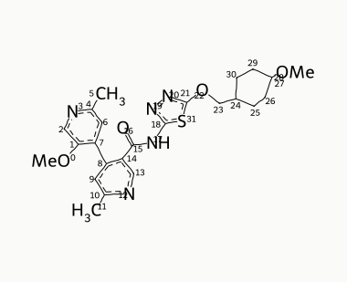 COc1cnc(C)cc1-c1cc(C)ncc1C(=O)Nc1nnc(OCC2CCC(OC)CC2)s1